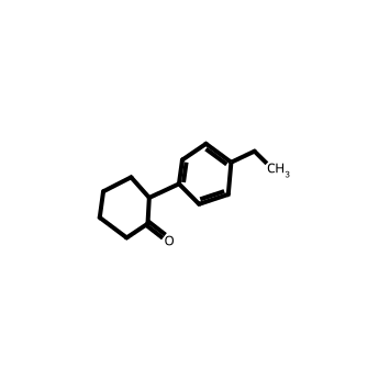 CCc1ccc(C2CCCCC2=O)cc1